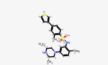 COc1ccc(N2C[C@@H](C)N[C@@H](C)C2)cc1NS(=O)(=O)c1ccc(-c2ccsc2)cc1C